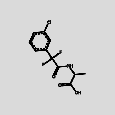 CC(NC(=O)C(F)(F)c1cccc(Cl)c1)C(=O)O